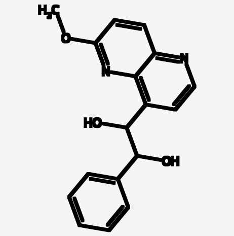 COc1ccc2nccc(C(O)C(O)c3ccccc3)c2n1